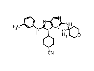 CC1(Nc2ncc3nc(Nc4cccc(C(F)(F)F)c4)n(C4CCC(C#N)CC4)c3n2)CCOCC1